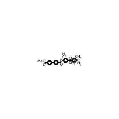 COC(=O)c1ccc(-c2ccc(C(=O)Oc3ccc(C(C)(C)c4ccc(C)c(C)c4)cc3C)cc2)cc1